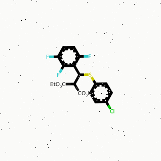 CCOC(=O)C(C(=O)O)C(Sc1ccc(Cl)cc1)c1c(F)ccc(F)c1F